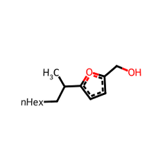 CCCCCCCC(C)c1ccc(CO)o1